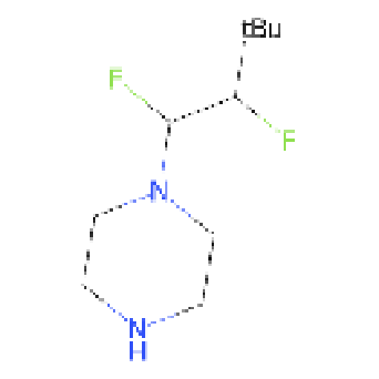 CC(C)(C)C(F)C(F)N1CCNCC1